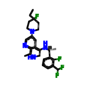 CCC1(F)CCN(c2cnc3c(c2)=C(N[C@H](C)c2cccc(C(F)F)c2F)CNC=3C)CC1